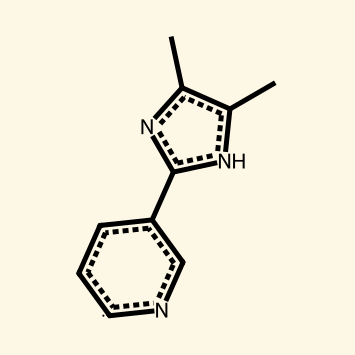 Cc1nc(-c2cc[c]nc2)[nH]c1C